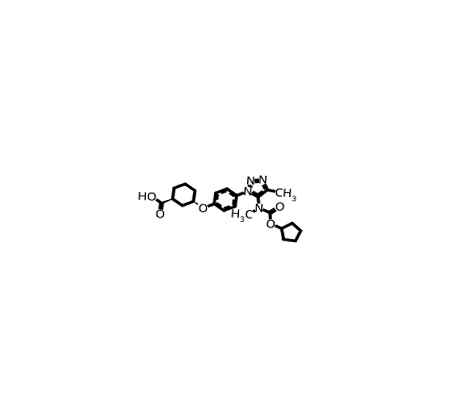 Cc1nnn(-c2ccc(O[C@H]3CCC[C@H](C(=O)O)C3)cc2)c1N(C)C(=O)OC1CCCC1